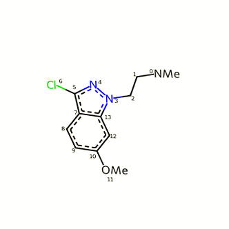 CNCCn1nc(Cl)c2ccc(OC)cc21